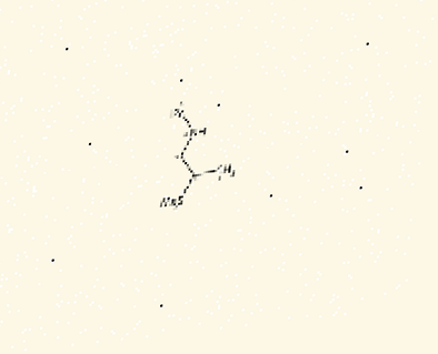 CSC(C)CNC(C)C